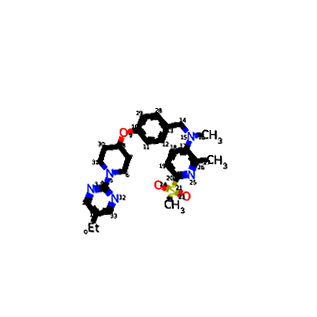 CCc1cnc(N2CCC(Oc3ccc(CN(C)c4ccc(S(C)(=O)=O)nc4C)cc3)CC2)nc1